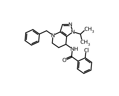 CC(C)n1ncc2c1C(NC(=O)c1ccccc1Cl)CCN2Cc1ccccc1